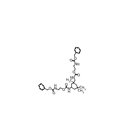 CC1(C)CC(NC(=O)OCCNC(=O)OCc2ccccc2)CC(C)(CNC(=O)OCCNC(=O)OCc2ccccc2)C1